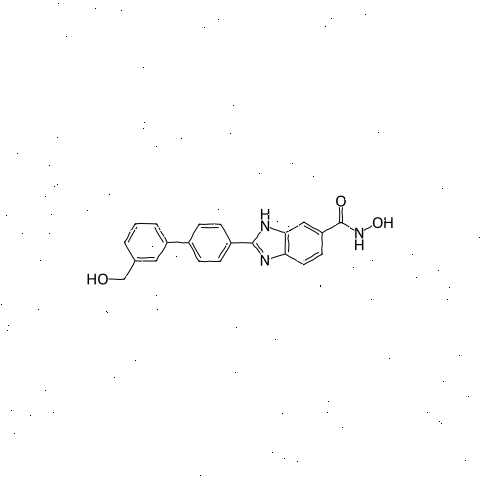 O=C(NO)c1ccc2nc(-c3ccc(-c4cccc(CO)c4)cc3)[nH]c2c1